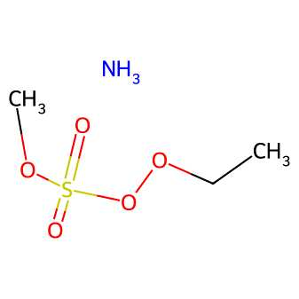 CCOOS(=O)(=O)OC.N